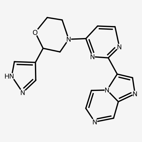 c1cn2c(-c3nccc(N4CCOC(c5cn[nH]c5)C4)n3)cnc2cn1